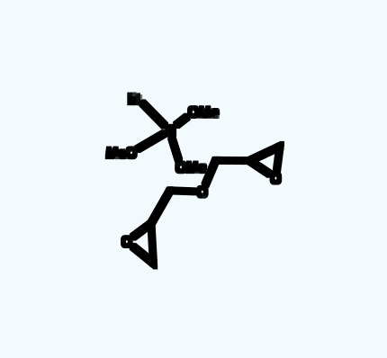 C(OCC1CO1)C1CO1.CC[Si](OC)(OC)OC